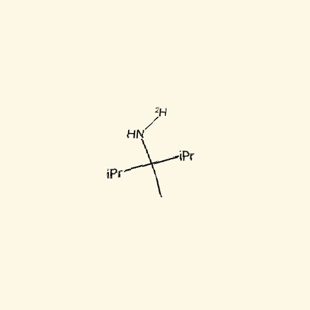 [2H]NC(C)(C(C)C)C(C)C